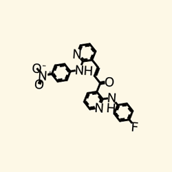 O=C(C=Cc1cccnc1Nc1ccc([N+](=O)[O-])cc1)c1cccnc1Nc1ccc(F)cc1